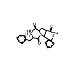 NC(Cc1ccccc1)C(=O)N1C(C(=O)O)CC(C(=O)O)C1c1ccccc1F